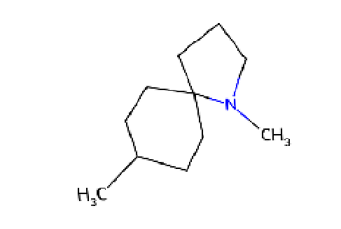 CC1CCC2(CCCN2C)CC1